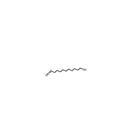 O=C=NCCCCCCCCCCO